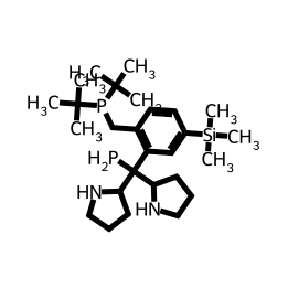 CC(C)(C)P(Cc1ccc([Si](C)(C)C)cc1C(P)(C1CCCN1)C1CCCN1)C(C)(C)C